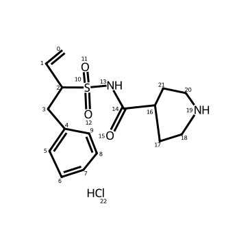 C=CC(Cc1ccccc1)S(=O)(=O)NC(=O)C1CCNCC1.Cl